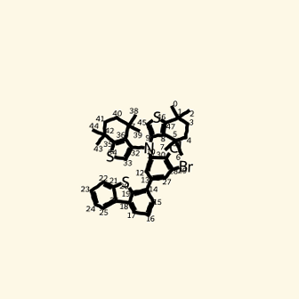 CC1(C)CCC(C)(C)c2c(N(c3cc(-c4cccc5c4sc4ccccc45)cc(Br)c3Cl)c3csc4c3C(C)(C)CCC4(C)C)csc21